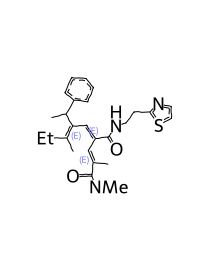 CC/C(C)=C(/C=C(\C=C(/C)C(=O)NC)C(=O)NCCc1nccs1)C(C)c1ccccc1